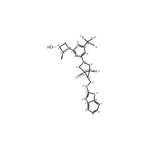 C[C@H]1[C@H](O)CN1c1nc(N2C[C@@H]3C(CSc4nc5ccccc5s4)[C@@H]3C2)cc(C(F)(F)F)n1